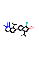 CC(C)c1c(-c2ccc3c(F)c(O)cc(C(C)C)c3c2)ccc2c1NN(C)C=C2